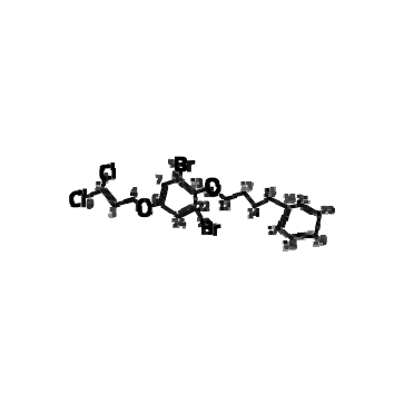 ClC(Cl)=CCOc1cc(Br)c(OCCCCc2ccccc2)c(Br)c1